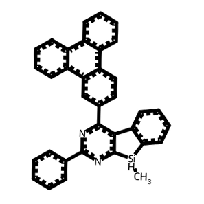 C[SiH]1c2ccccc2-c2c(-c3ccc4c5ccccc5c5ccccc5c4c3)nc(-c3ccccc3)nc21